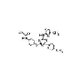 Cc1csc(Nc2nc(Sc3ccc(NC(=O)C4CC4)cc3)nc(N3CCN(C)CC3)n2)n1